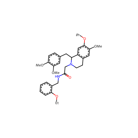 CCOc1ccccc1CNC(=O)CN1CCc2cc(OC)c(OC(C)C)cc2C1Cc1ccc(OC)c(OC)c1